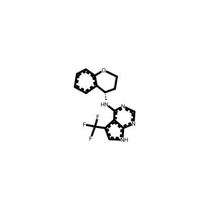 FC(F)(F)c1c[nH]c2ncnc(N[C@H]3CCOc4ccccc43)c12